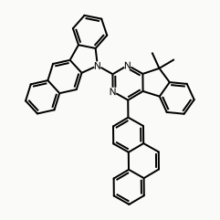 CC1(C)c2ccccc2-c2c(-c3ccc4c(ccc5ccccc54)c3)nc(-n3c4ccccc4c4cc5ccccc5cc43)nc21